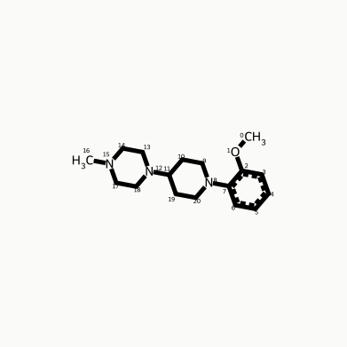 COc1ccccc1N1CCC(N2CCN(C)CC2)CC1